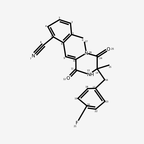 Cc1cccc(C#N)c1C=C1C(=O)NC(C)(Cc2ccc(F)cc2)C(=O)N1C